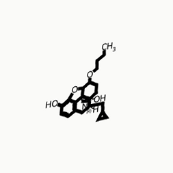 CCCCOC1CC[C@@]2(O)[C@H]3Cc4ccc(O)c5c4[C@@]2(CCN3CC2CC2)C1O5